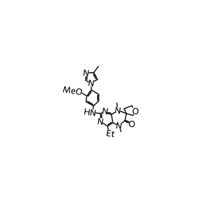 CCc1nc(Nc2ccc(-n3cnc(C)c3)c(OC)c2)nc2c1N(C)C(=O)C1(CCOC1)N2C